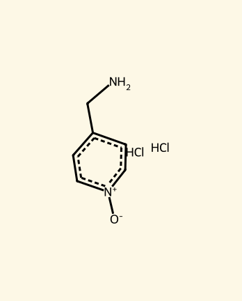 Cl.Cl.NCc1cc[n+]([O-])cc1